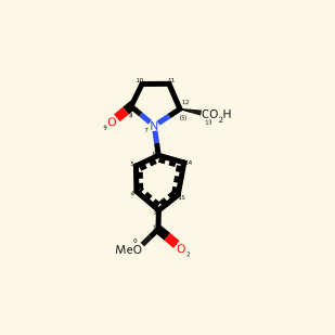 COC(=O)c1ccc(N2C(=O)CC[C@H]2C(=O)O)cc1